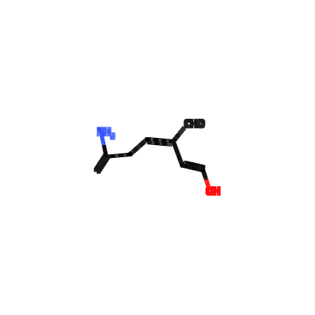 C=C(N)C/C=C(C=O)\C=C\O